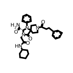 NC(=O)[C@H]1N(CC(=O)NC2CCCCC2)C(=O)C2(CCN(C(=O)[CH]Cc3ccccc3)CC2)N1c1ccccc1